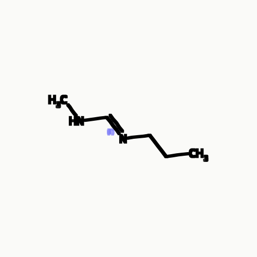 CCC/N=C/NC